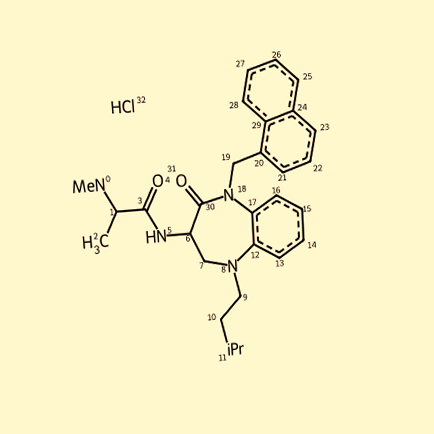 CNC(C)C(=O)NC1CN(CCC(C)C)c2ccccc2N(Cc2cccc3ccccc23)C1=O.Cl